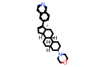 C[C@]12CC[C@H]3C(CC[C@H]4C[C@@H](N5CCOCC5)CC[C@@H]43)[C@@H]1CC=C2c1ccc2cnccc2c1